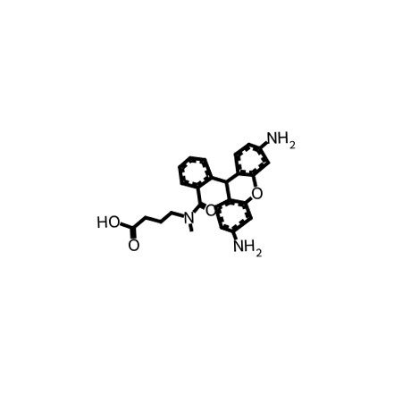 CN(CCCC(=O)O)C(=O)c1ccccc1C1c2ccc(N)cc2Oc2cc(N)ccc21